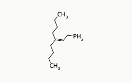 CCCCC(=CCP)CCCC